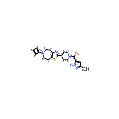 Cc1cc(C(=O)N2CCC(c3nc4c(s3)CCN(C3=CC=C3)CC4)CC2)[nH]n1